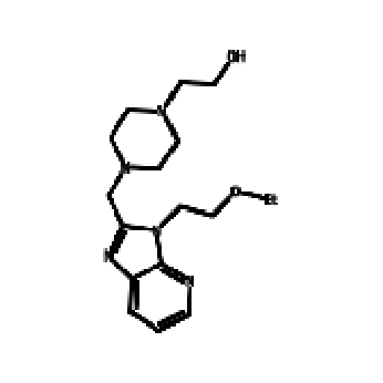 CCOCCn1c(CN2CCN(CCO)CC2)nc2cccnc21